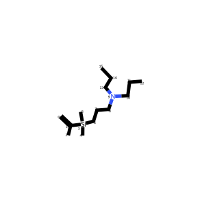 C=C(C)[Si](C)(C)CCCN(CCC)CCC